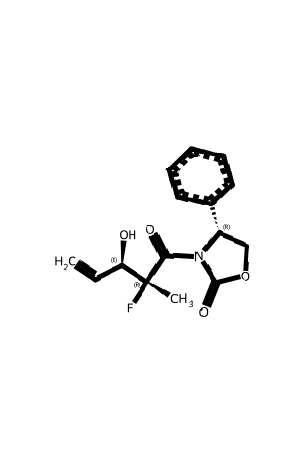 C=C[C@@H](O)[C@@](C)(F)C(=O)N1C(=O)OC[C@H]1c1ccccc1